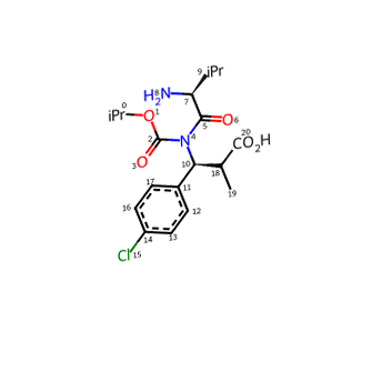 CC(C)OC(=O)N(C(=O)[C@@H](N)C(C)C)[C@H](c1ccc(Cl)cc1)C(C)C(=O)O